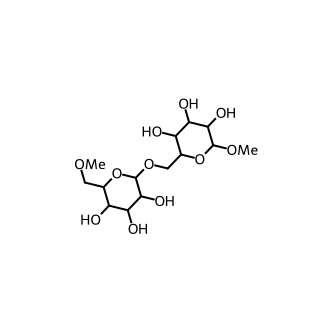 COCC1OC(OCC2OC(OC)C(O)C(O)C2O)C(O)C(O)C1O